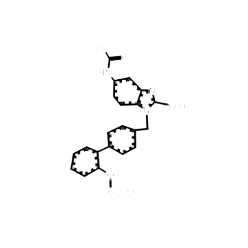 CCCCc1nc2cc(NC(=O)CC)ccc2n1Cc1ccc(-c2ccccc2OC(=O)OCC)cc1